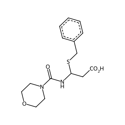 O=C(O)CC(NC(=O)N1CCOCC1)SCc1ccccc1